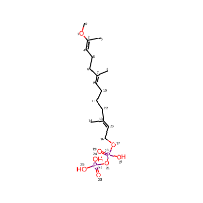 CO/C(C)=C/CC/C(C)=C/CCC/C(C)=C/COP(=O)(O)OP(=O)(O)O